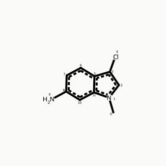 Cn1cc(Cl)c2ccc(N)cc21